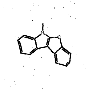 Cn1c2ccccc2c2c3ccccc3oc21